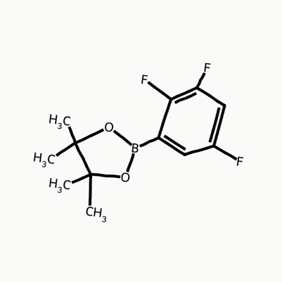 CC1(C)OB(c2cc(F)cc(F)c2F)OC1(C)C